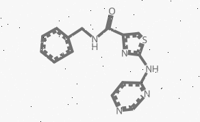 O=C(NCc1ccccc1)c1csc(Nc2ccncn2)n1